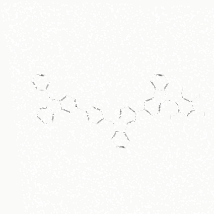 [2H]c1c([2H])c([2H])c(-n2c3ccccc3c3cc(-c4ccc5c(c4)c4ccccc4n5-c4ccc(-c5ccc6c(c5)c5ccccc5n6-c5ccccc5)cc4)ccc32)c([2H])c1[2H]